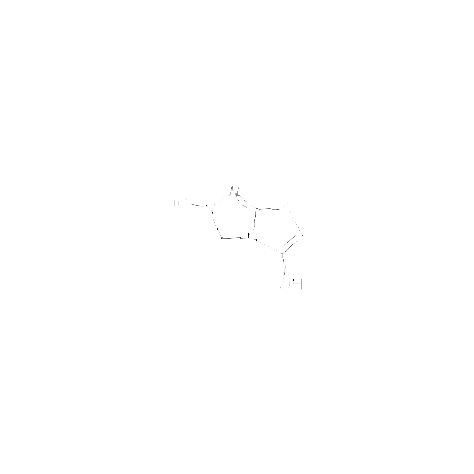 OC1=CSC2=NN(O)CN12